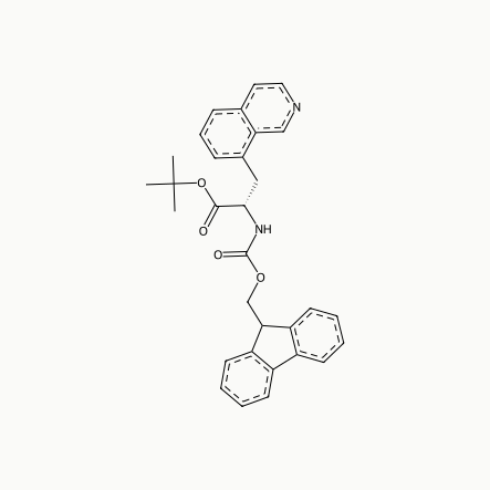 CC(C)(C)OC(=O)[C@H](Cc1cccc2ccncc12)NC(=O)OCC1c2ccccc2-c2ccccc21